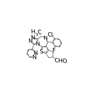 C[C@@H]1N=C(c2c(F)cccc2Cl)c2c(sc3c2CC(C=O)C3)-n2c(-c3cccnn3)nnc21